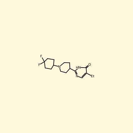 CCc1cnc(C2CCN(C3CCC(F)(F)CC3)CC2)[nH]c1=O